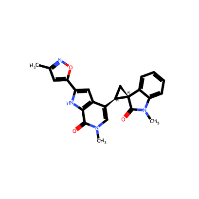 Cc1cc(-c2cc3c([C@H]4C[C@@]45C(=O)N(C)c4ccccc45)cn(C)c(=O)c3[nH]2)on1